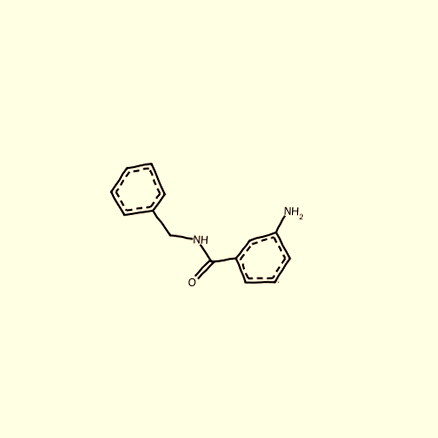 Nc1c[c]cc(C(=O)NCc2ccccc2)c1